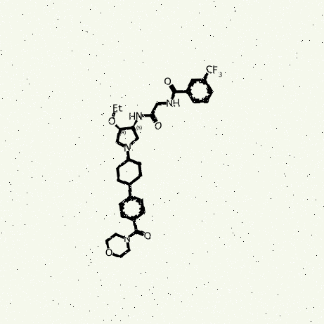 CCO[C@@H]1CN(C2CCC(c3ccc(C(=O)N4CCOCC4)cc3)CC2)C[C@@H]1NC(=O)CNC(=O)c1cccc(C(F)(F)F)c1